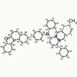 CC1C=Cc2cccc(-c3ccccc3N(c3ccc(-c4ccccc4)cc3)c3ccc(-c4ccc5c(ccc6oc7ccccc7c65)c4)cc3)c2C1